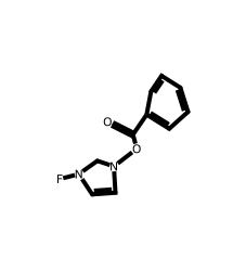 O=C(ON1C=CN(F)C1)c1ccccc1